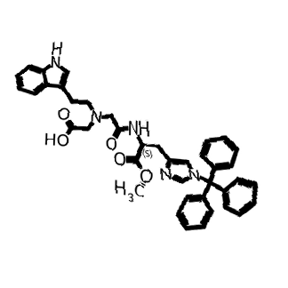 COC(=O)[C@H](Cc1cn(C(c2ccccc2)(c2ccccc2)c2ccccc2)cn1)NC(=O)CN(CCc1c[nH]c2ccccc12)CC(=O)O